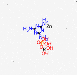 Nc1nc(N)nc(N)n1.O=P(O)(O)OB(O)O.[Zn]